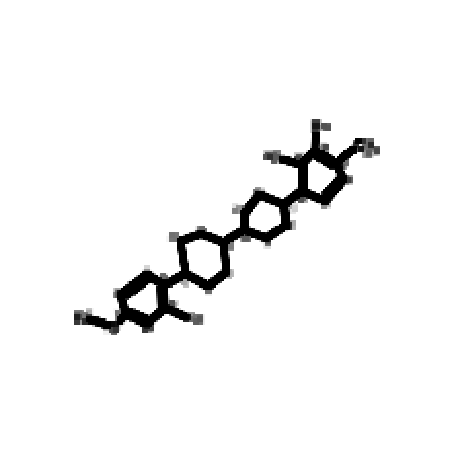 CCOc1ccc(C2CCC(C3CCC(c4ccc(C)c(F)c4F)CC3)CC2)c(F)c1